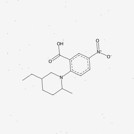 CCC1CCC(C)N(c2ccc([N+](=O)[O-])cc2C(=O)O)C1